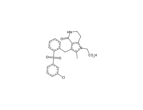 Cc1c(Cc2ccccc2S(=O)(=O)c2cccc(Cl)c2)c2c(n1CC(=O)O)CCNC2=O